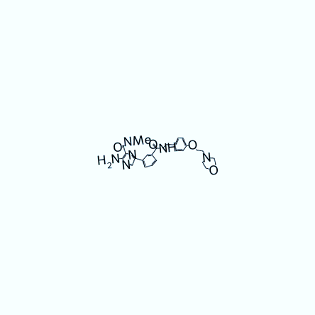 CNC(=O)c1nc(-c2cccc(C(=O)NCc3ccc(OCCN4CCOCC4)cc3)c2)cnc1N